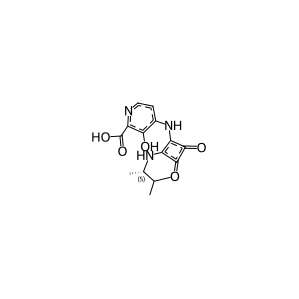 CC(C)[C@H](C)Nc1c(Nc2ccnc(C(=O)O)c2O)c(=O)c1=O